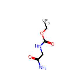 [NH]C(=O)CNC(=O)OCC(F)(F)F